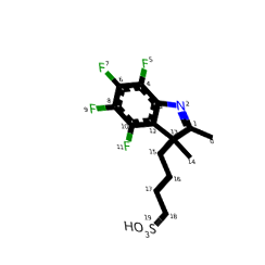 CC1=Nc2c(F)c(F)c(F)c(F)c2C1(C)CCCCS(=O)(=O)O